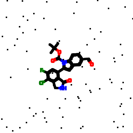 CC(C)(C)OC(=O)n1c(-c2cc(F)c(Cl)c3c2C(=O)NC3)cc2cc(C=O)ccc21